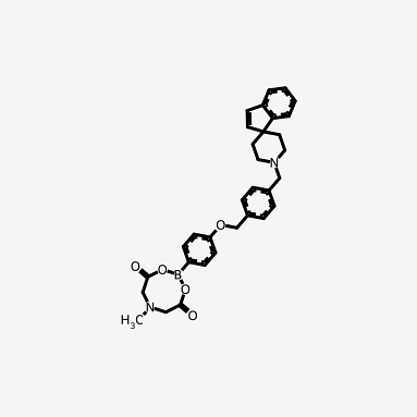 CN1CC(=O)OB(c2ccc(OCc3ccc(CN4CCC5(C=Cc6ccccc65)CC4)cc3)cc2)OC(=O)C1